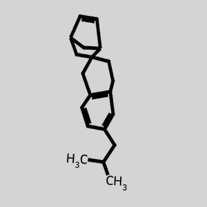 CC(C)Cc1ccc2c(c1)CCC1(C2)CC2C=CC1C2